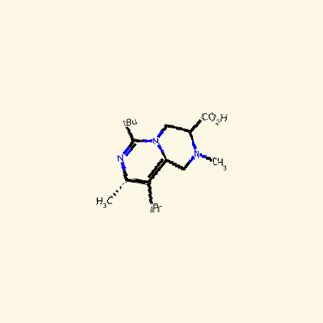 CC(C)C1=C2CN(C)C(C(=O)O)CN2C(C(C)(C)C)=N[C@H]1C